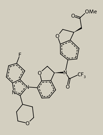 COC(=O)C[C@@H]1COc2cc(N(C(=O)C(F)(F)F)[C@@H]3COc4c3cccc4-n3c(C4CCOCC4)nc4ccc(F)cc43)ccc21